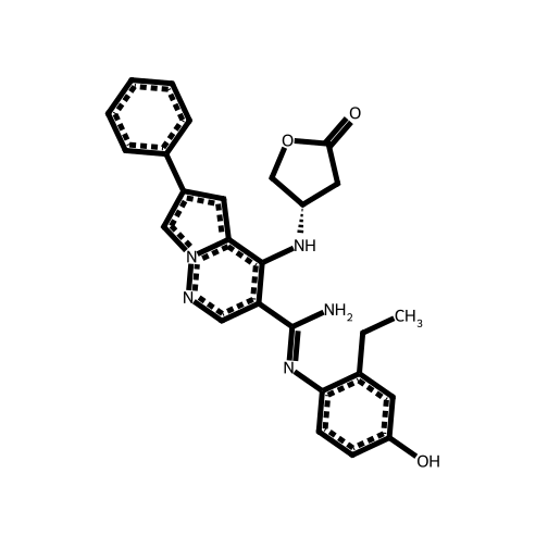 CCc1cc(O)ccc1/N=C(\N)c1cnn2cc(-c3ccccc3)cc2c1N[C@@H]1COC(=O)C1